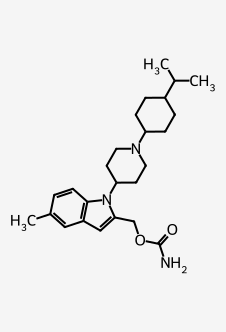 Cc1ccc2c(c1)cc(COC(N)=O)n2C1CCN(C2CCC(C(C)C)CC2)CC1